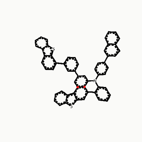 c1cc(-c2cccc(N(c3ccc(-c4ccc5ccccc5c4)cc3)c3ccccc3-c3ccc4c(c3)sc3ccccc34)c2)cc(-c2cccc3c2sc2ccccc23)c1